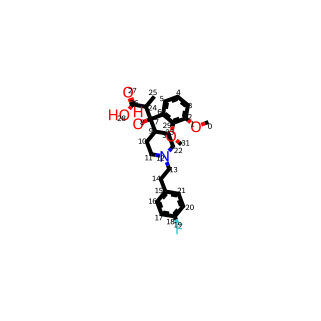 COc1cccc(C(O)(C2CCN(CCc3ccc(F)cc3)CC2)C(C)C(=O)O)c1OC